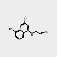 C=CCNc1cc(C)nc2c(O)cccc12